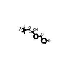 CC1(C)C(C(=O)OC(C#N)c2cccc(C(=O)c3cccc(Br)c3)c2)C1(F)C(F)(F)F